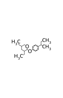 CCC1COC(Oc2ccc(C(C)CC)cc2)C(CC)C1